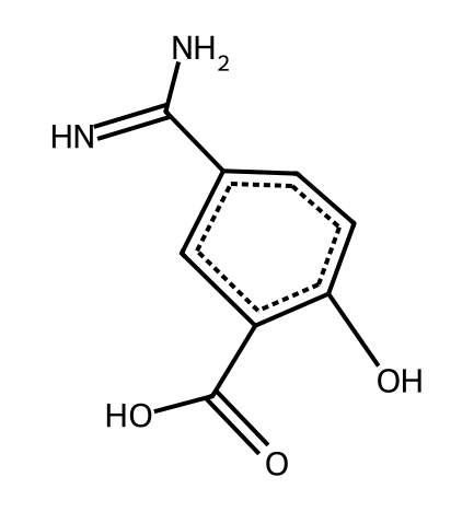 N=C(N)c1ccc(O)c(C(=O)O)c1